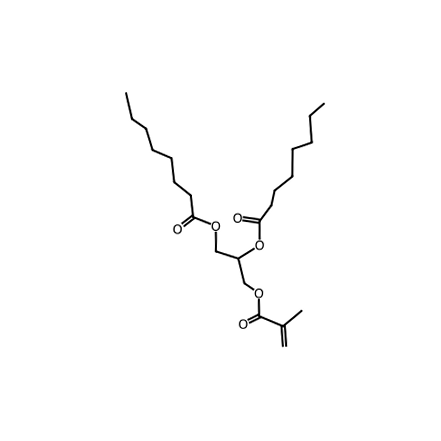 C=C(C)C(=O)OCC(COC(=O)CCCCCCC)OC(=O)CCCCCCC